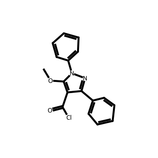 COc1c(C(=O)Cl)c(-c2ccccc2)nn1-c1ccccc1